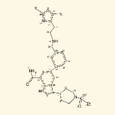 CCS(=O)(=O)N1CCC(c2c[nH]c3c(C(N)=O)cc(-c4cccc(CNCCn5nc(C)cc5C)c4)cc23)CC1